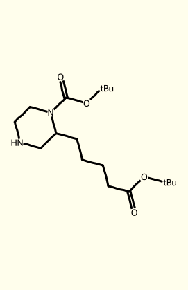 CC(C)(C)OC(=O)CCCCC1CNCCN1C(=O)OC(C)(C)C